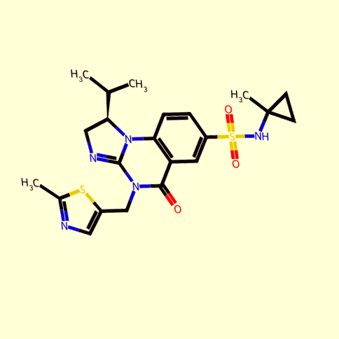 Cc1ncc(CN2C(=O)c3cc(S(=O)(=O)NC4(C)CC4)ccc3N3C2=NC[C@H]3C(C)C)s1